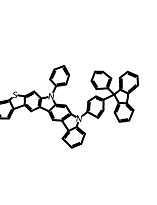 c1ccc(-n2c3cc4sc5ccccc5c4cc3c3cc4c5ccccc5n(-c5ccc(C6(c7ccccc7)c7ccccc7-c7ccccc76)cc5)c4cc32)cc1